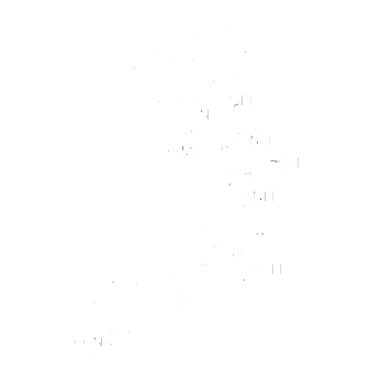 COC(=O)N(C1c2ccccc2-c2ccccc21)[C@H](C(=O)N[C@@H](C)C(=O)Nc1ccc(COC(=O)Oc2ccc([N+](=O)[O-])cc2)c(S(=O)(=O)O)c1)C(C)C